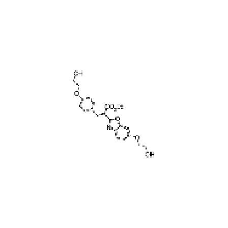 CCOC(=O)C(=Cc1ccc(OCCO)cc1)c1nc2ccc(OCCO)cc2o1